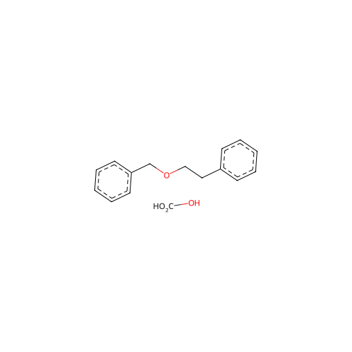 O=C(O)O.c1ccc(CCOCc2ccccc2)cc1